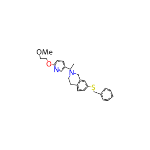 COCCOc1ccc(C(C)N2CCc3ccc(SCc4ccccc4)cc3C2)cn1